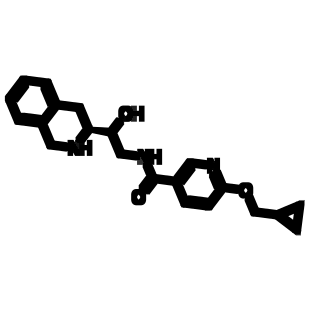 O=C(NCC(O)[C@@H]1Cc2ccccc2CN1)c1ccc(OCC2CC2)nc1